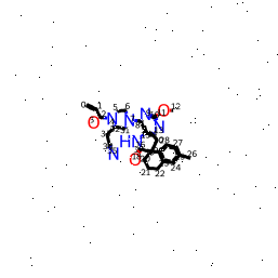 C=CC(=O)N1CCN(c2nc(OC)nc3c2NC(=O)C2(CCCc4cc(C)ccc42)C3)CC1CC#N